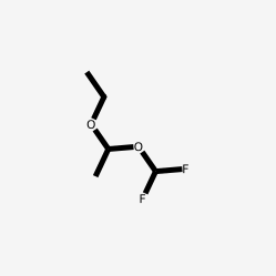 CCOC(C)OC(F)F